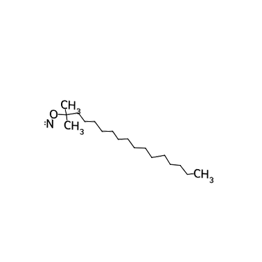 CCCCCCCCCCCCCCCC(C)(C)O[N]